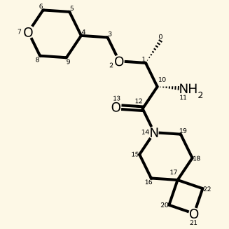 C[C@@H](OCC1CCOCC1)[C@H](N)C(=O)N1CCC2(CC1)COC2